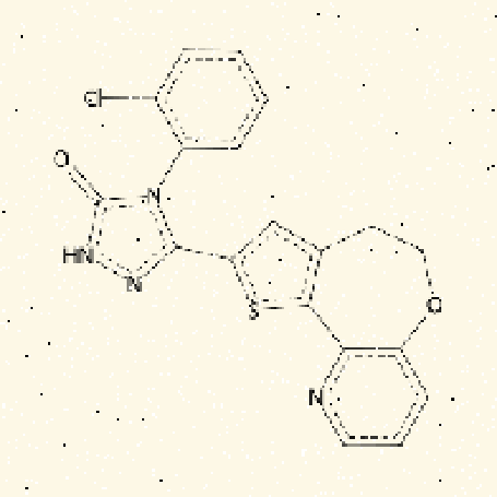 O=c1[nH]nc(-c2cc3c(s2)-c2ncccc2OCC3)n1-c1ccccc1Cl